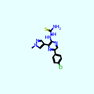 Cn1cc(-c2nc(-c3ccc(Cl)cc3)cnc2NNC(N)=S)cn1